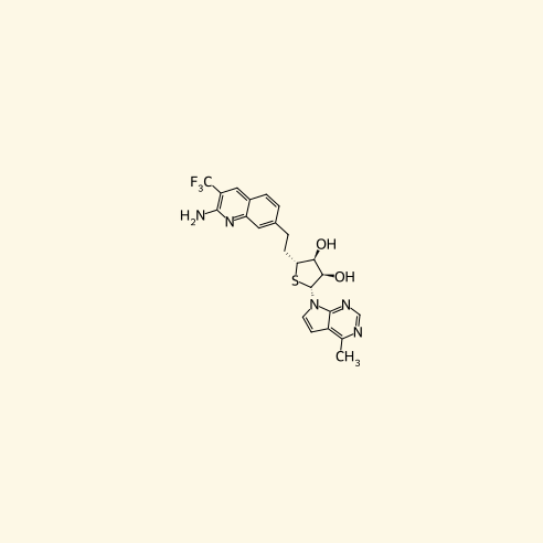 Cc1ncnc2c1ccn2[C@@H]1S[C@H](CCc2ccc3cc(C(F)(F)F)c(N)nc3c2)[C@@H](O)[C@H]1O